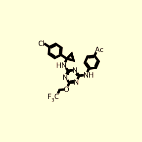 CC(=O)c1ccc(Nc2nc(NC3(c4ccc(Cl)cc4)CC3)nc(OCC(F)(F)F)n2)cc1